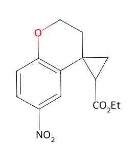 CCOC(=O)C1CC12CCOc1ccc([N+](=O)[O-])cc12